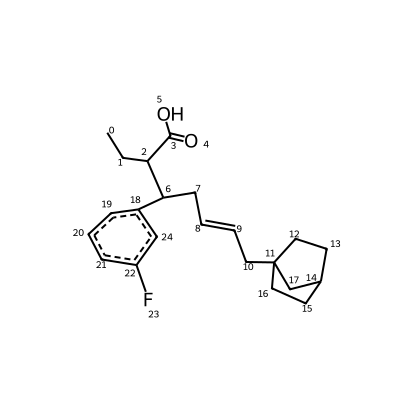 CCC(C(=O)O)C(CC=CCC12CCC(CC1)C2)c1cccc(F)c1